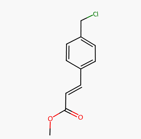 COC(=O)C=Cc1ccc(CCl)cc1